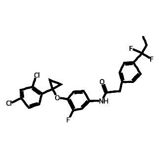 CCC(F)(F)c1ccc(CC(=O)Nc2ccc(OC3(c4ccc(Cl)cc4Cl)CC3)c(F)c2)cc1